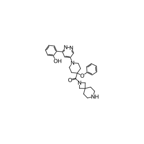 O=C(N1CC2(CCNCC2)C1)C1(Oc2ccccc2)CCN(c2cnnc(-c3ccccc3O)c2)CC1